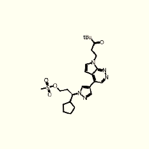 CC(C)(C)C(=O)CCn1ccc2c(-c3cnn([C@H](CCOS(C)(=O)=O)C4CCCC4)c3)cnnc21